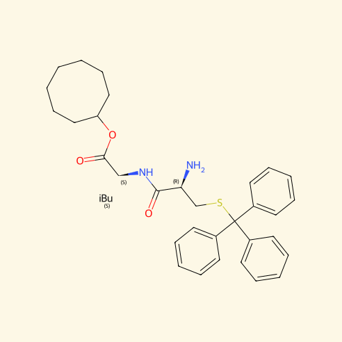 CC[C@H](C)[C@H](NC(=O)[C@@H](N)CSC(c1ccccc1)(c1ccccc1)c1ccccc1)C(=O)OC1CCCCCCC1